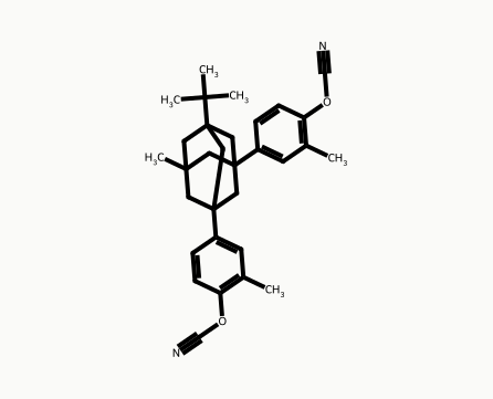 Cc1cc(C23CC4(C)CC(c5ccc(OC#N)c(C)c5)(C2)CC(C(C)(C)C)(C4)C3)ccc1OC#N